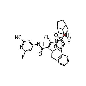 N#Cc1cc(NC(=O)c2c(Cl)c(S(=O)(=O)NC3C4CCC3CC(O)(c3cc(-c5ccccc5)on3)C4)c3n2CCCC3)cc(F)n1